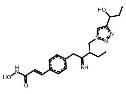 CCC(O)c1cn(C[C@@H](CC)C(=N)Cc2ccc(/C=C/C(=O)NO)cc2)nn1